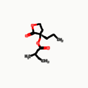 CCC[C@]1(OC(=O)C(C)C)CCOC1=O